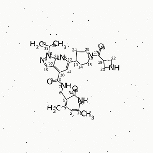 Cc1cc(C)c(CNC(=O)c2cc(C3CCN(C(=O)C4CNC4)CC3)nc3c2cnn3C(C)C)c(=O)[nH]1